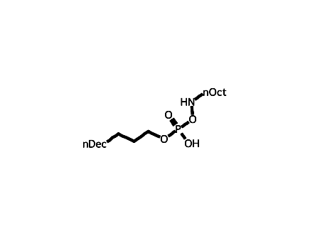 CCCCCCCCCCCCCOP(=O)(O)ONCCCCCCCC